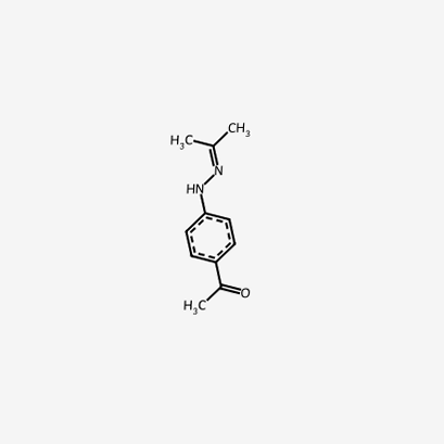 CC(=O)c1ccc(NN=C(C)C)cc1